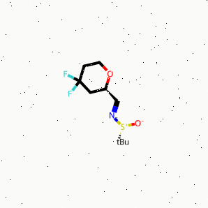 CC(C)(C)[S@@+]([O-])/N=C/[C@H]1CC(F)(F)CCO1